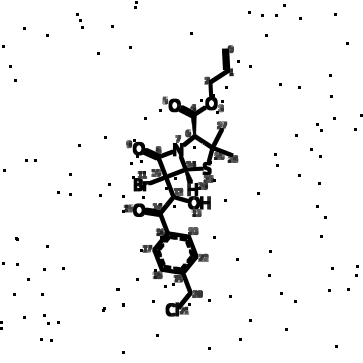 C=CCOC(=O)[C@@H]1N2C(=O)C(Br)(C(O)C(=O)c3ccc(CCl)cc3)[C@H]2SC1(C)C